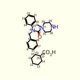 C[N+]1(C(=O)N(Cc2ccc([C@H]3CCCC[C@@H]3C(=O)O)cc2)c2ccccc2)CCNCC1